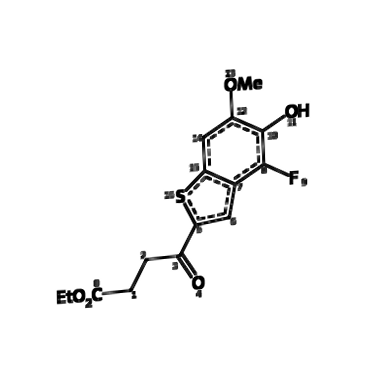 CCOC(=O)CCC(=O)c1cc2c(F)c(O)c(OC)cc2s1